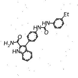 CCc1cccc(NC(=O)Nc2ccc(-c3c(C(N)=O)[nH]c4ccccc34)cc2)c1